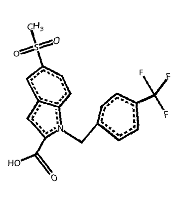 CS(=O)(=O)c1ccc2c(c1)cc(C(=O)O)n2Cc1ccc(C(F)(F)F)cc1